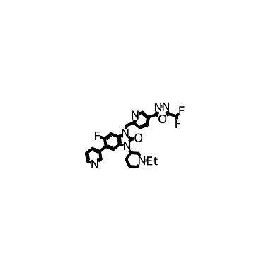 CCN1CCCC(n2c(=O)n(Cc3ccc(-c4nnc(C(F)F)o4)cn3)c3cc(F)c(-c4cccnc4)cc32)C1